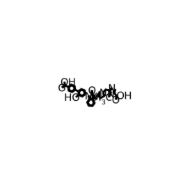 Cn1c(C(=O)O)cnc1CN1CC[C@H](n2c(=O)n(-c3ccc(-c4ccc(C(=O)O)cc4)c(O)c3)c3ccccc32)C1